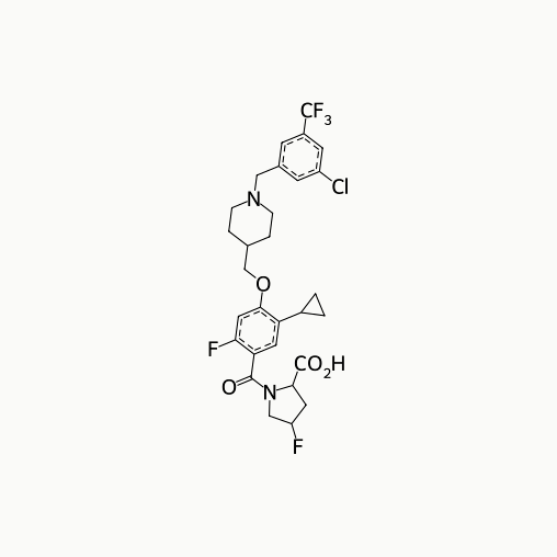 O=C(O)C1CC(F)CN1C(=O)c1cc(C2CC2)c(OCC2CCN(Cc3cc(Cl)cc(C(F)(F)F)c3)CC2)cc1F